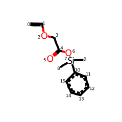 C=COCC(=O)O[Si](C)(C)c1ccccc1